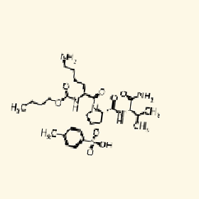 CCCCOC(=O)N[C@@H](CCCCN)C(=O)N1CCC[C@H]1C(=O)N[C@H](C(N)=O)C(C)C.Cc1ccc(S(=O)(=O)O)cc1